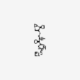 CCSc1ncc(C(=O)NCCC2CC3CC3C2=O)s1